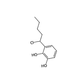 CCCCC(Cl)c1cccc(O)c1O